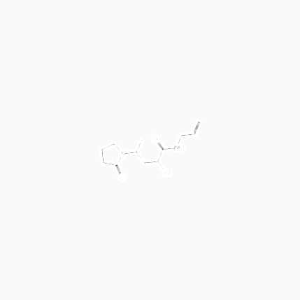 C=CCNC(=O)C(CC)CC(C)N1CCCC1=O